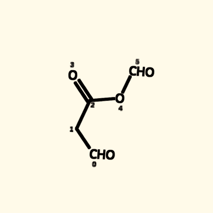 O=CCC(=O)OC=O